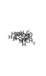 CC(=O)N1c2ccc(N3CCN[C@@H](C)C3)cc2[C@H](Nc2ccc(C#N)cn2)[C@@H](C)[C@@H]1C1CC1